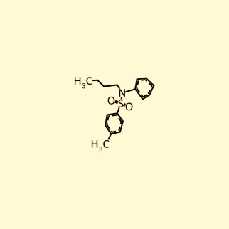 CCCCN(c1ccccc1)S(=O)(=O)c1ccc(C)cc1